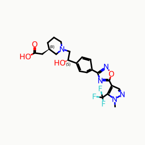 Cn1ncc(-c2nc(-c3ccc([C@H](O)CN4CCC[C@H](CC(=O)O)C4)cc3)no2)c1C(F)(F)F